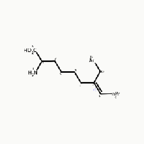 CCC/C=C(/CCCCC(N)C(=O)O)CC(C)=O